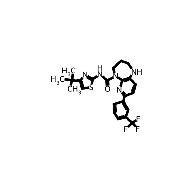 CC(C)(C)c1csc(NC(=O)N2CCCNc3ccc(-c4cccc(C(F)(F)F)c4)nc32)n1